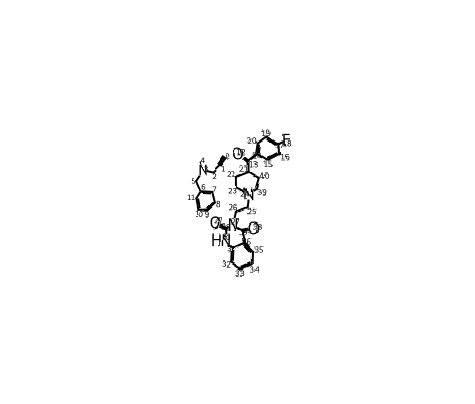 C#CCN(C)Cc1ccccc1.O=C(c1ccc(F)cc1)C1CCN(CCn2c(=O)[nH]c3ccccc3c2=O)CC1